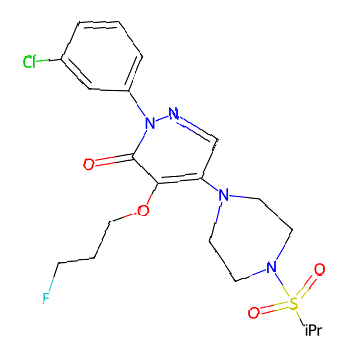 CC(C)S(=O)(=O)N1CCN(c2cnn(-c3cccc(Cl)c3)c(=O)c2OCCCF)CC1